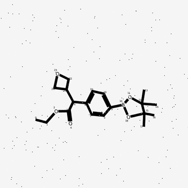 CCOC(=O)C(c1ccc(B2OC(C)(C)C(C)(C)O2)cc1)C1COC1